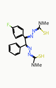 CN/C(S)=N/N=C(/C(=N/N=C(\S)NC)c1ccc(F)cc1)c1ccccc1